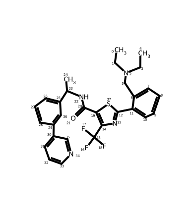 CCN(CC)Cc1ccccc1-c1nc(C(F)(F)F)c(C(=O)NC(C)c2cccc(-c3cccnc3)c2)s1